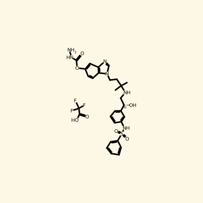 CC(C)(CCn1cnc2cc(OC(=O)NN)ccc21)NC[C@H](O)c1cccc(NS(=O)(=O)c2ccccc2)c1.O=C(O)C(F)(F)F